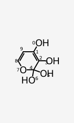 OC1=C(O)C(O)(O)OC=C1